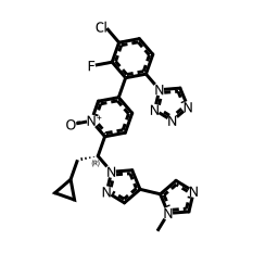 Cn1cncc1-c1cnn([C@H](CC2CC2)c2ccc(-c3c(-n4cnnn4)ccc(Cl)c3F)c[n+]2[O-])c1